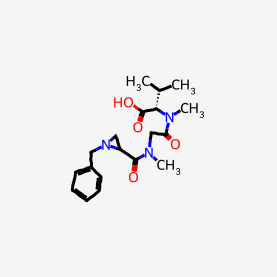 CC(C)[C@@H](C(=O)O)N(C)C(=O)CN(C)C(=O)C1CN1Cc1ccccc1